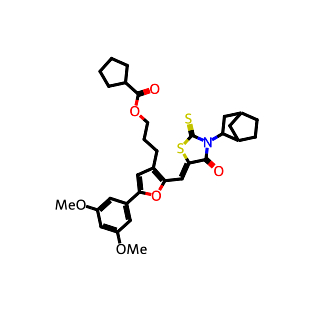 COc1cc(OC)cc(-c2cc(CCCOC(=O)C3CCCC3)c(/C=C3\SC(=S)N(C4CC5CCC4C5)C3=O)o2)c1